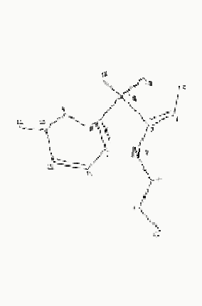 C/C=C1/N(CCC)C2=C(CC(C)C=C2)C1(C)C